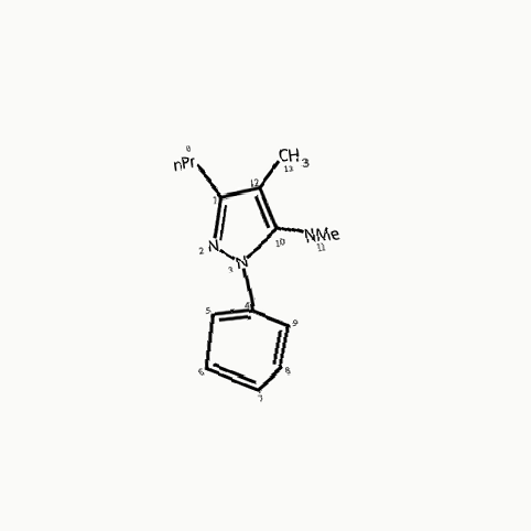 CCCc1nn(-c2ccccc2)c(NC)c1C